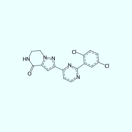 O=C1NCCn2nc(-c3ccnc(-c4cc(Cl)ccc4Cl)n3)cc21